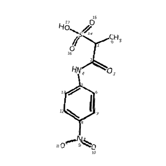 CC(C(=O)Nc1ccc([N+](=O)[O-])cc1)S(=O)(=O)O